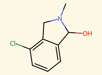 CN1Cc2c(Cl)cccc2C1O